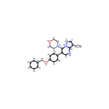 N#Cc1cnn2c(N3CCOCC3)c(-c3ccc(OCc4ccccc4)cc3)cnc12